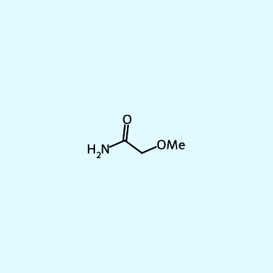 [CH]OCC(N)=O